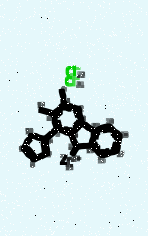 Cc1cc2c(c(C3=CC=CC3)c1C)[CH]([Zr+2])c1ccccc1-2.[Cl-].[Cl-]